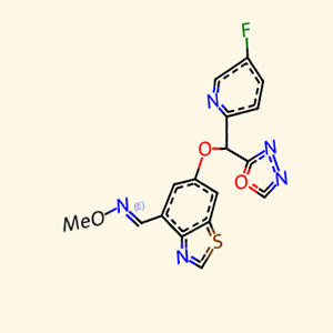 CO/N=C/c1cc(OC(c2ccc(F)cn2)c2nnco2)cc2scnc12